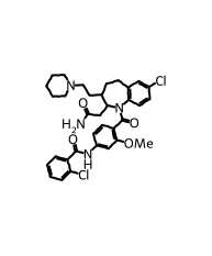 COc1cc(NC(=O)c2ccccc2Cl)ccc1C(=O)N1c2ccc(Cl)cc2CCC(CCN2CCCCC2)C1CC(N)=O